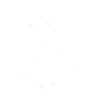 Cc1ncc(-c2cc(C)c3[nH]nc(Br)c3c2)cn1